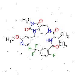 COc1cc(CN2C(=O)N(C)C(=O)C23CCN(C(=O)C(NC(=O)c2cc(C(F)(F)F)ccc2F)C(C)C)CC3)ccn1